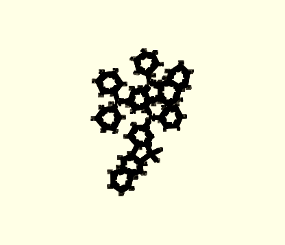 CC1(C)c2cc(N(c3ccccc3)c3cc(N(c4ccccc4)c4ccccc4)cc4c3c3ccc5ccccc5c3n4-c3ccccc3)ccc2-c2cc3ccccc3cc21